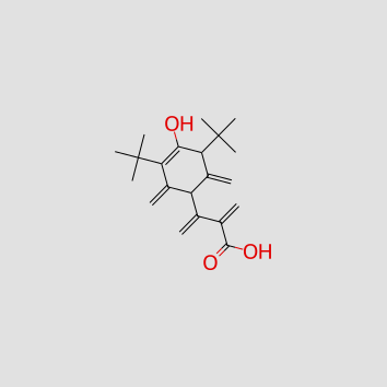 C=C(C(=C)C1C(=C)C(C(C)(C)C)=C(O)C(C(C)(C)C)C1=C)C(=O)O